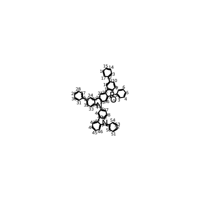 O=P1(c2ccccc2)c2ccc(-c3ccccc3)cc2-c2cc3c4cc(-c5ccccc5)ccc4n(-c4ccc5c(c4)c4ccccc4n5-c4ccccc4)c3cc21